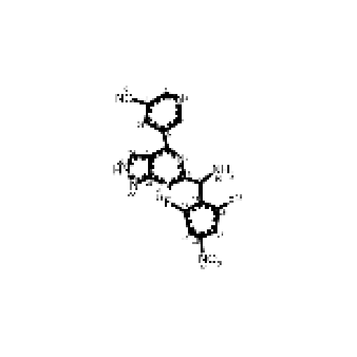 N#Cc1cncc(-c2nc(C(N)c3c(F)cc([N+](=O)[O-])cc3F)nc3n[nH]cc23)c1